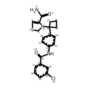 NC(=O)C1=CSCN1C1(c2ccc(NC(=O)c3cccc(Cl)c3)cc2)CCC1